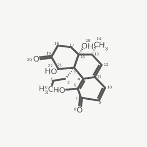 CCC[C@@]12C3=C(O)C(=O)C=CC3=C[C@@H](C)[C@]1(O)CCC(=O)C2O